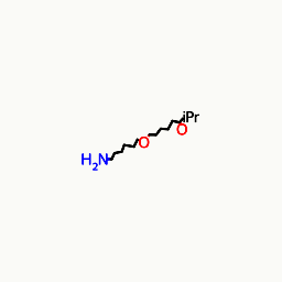 CC(C)C(=O)CCCCCOCCCCCCN